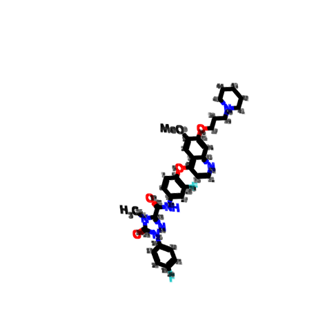 COc1cc2c(Oc3ccc(NC(=O)c4nn(-c5ccc(F)cc5)c(=O)n4C)cc3F)ccnc2cc1OCCCN1CCCCC1